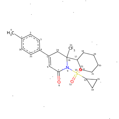 Cc1ccc(C2=CC(=O)N(S(=O)(=O)C3CC3)C(C3CCCCC3)(C(F)(F)F)C2)cc1